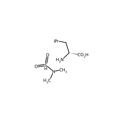 CC(C)C[C@@H](N)C(=O)O.CN(C)[SH](=O)=O